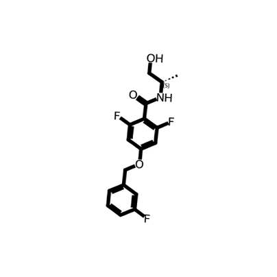 C[C@@H](CO)NC(=O)c1c(F)cc(OCc2cccc(F)c2)cc1F